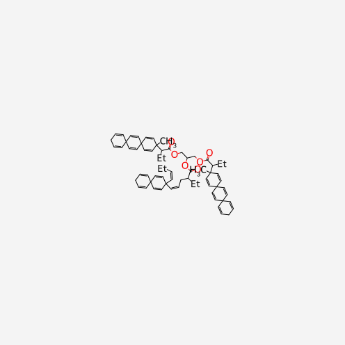 CC/C=C\C1(/C=C\CC(CC)C(=O)OC(COC(=O)C(CC)C2(C)C=CC3(C=CC4(C=CCC=C4)C=C3)C=C2)COC(=O)C(CC)C2(C)C=CC3(C=CC4(C=CCC=C4)C=C3)C=C2)C=CC2(C=CCC=C2)C=C1